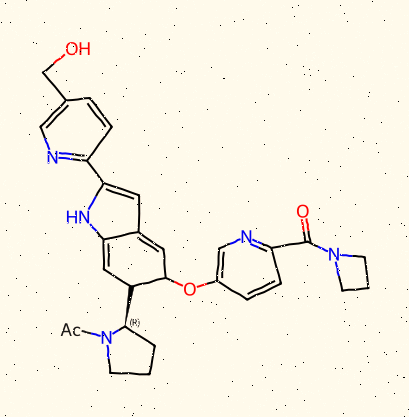 CC(=O)N1CCC[C@@H]1C1C=c2[nH]c(-c3ccc(CO)cn3)cc2=CC1Oc1ccc(C(=O)N2CCC2)nc1